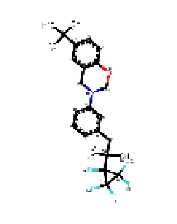 CC(C)(C)c1ccc2c(c1)CN(c1cccc(CC(C)(C)C3(F)C(F)(F)C3(F)F)c1)CO2